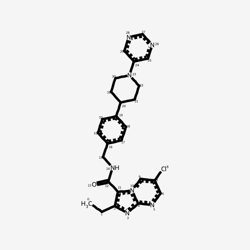 CCc1nc2ncc(Cl)cn2c1C(=O)NCc1ccc(C2CCN(c3cncnc3)CC2)cc1